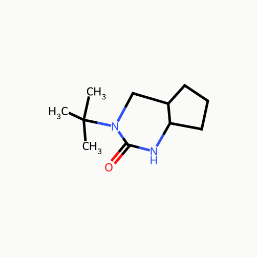 CC(C)(C)N1CC2CCCC2NC1=O